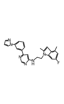 Cc1cc(F)cc2c1cc(C)n2CCNc1cc(-c2cccc(-n3cccn3)c2)ncn1